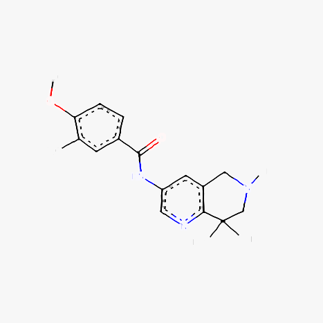 CCOc1ccc(C(=O)Nc2cnc3c(c2)CN(C)CC3(C)C)cc1C(F)(F)F